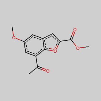 COC(=O)c1cc2cc(OC)cc(C(C)=O)c2o1